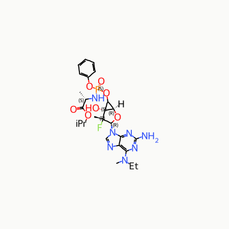 CCN(C)c1nc(N)nc2c1ncn2[C@@H]1O[C@@H]2C(O[P@@](=O)(N[C@@H](C)C(=O)OC(C)C)Oc3ccccc3)[C@]2(O)[C@@]1(C)F